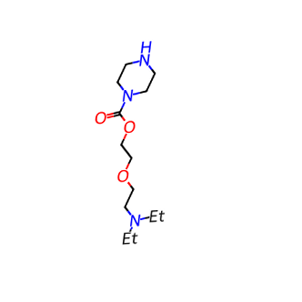 CCN(CC)CCOCCOC(=O)N1CCNCC1